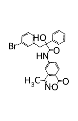 Cc1noc(=O)c2ccc(NC(=O)C(O)(Cc3cccc(Br)c3)c3ccccc3)cc12